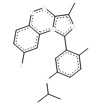 Cc1nc(-c2cc(OC(C)C)ccc2F)n2c1nnc1ccc(F)cc12